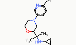 CC(C)c1ccc(N2CCOC(C(C)(C)NC3CC3)C2)cn1